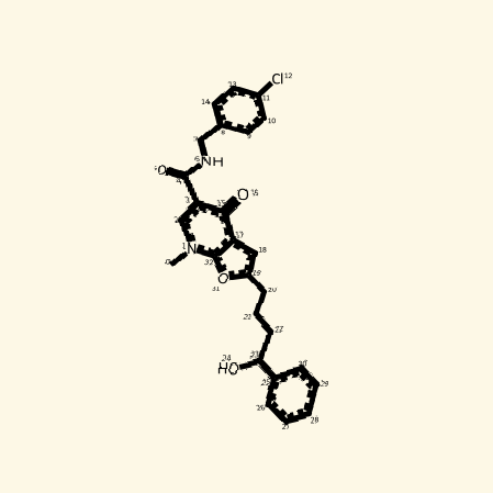 Cn1cc(C(=O)NCc2ccc(Cl)cc2)c(=O)c2cc(CCCC(O)c3ccccc3)oc21